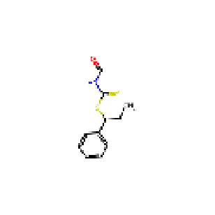 CCC(SC(=S)NC=O)c1ccccc1